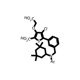 CC(=O)N(Cc1cccc(-c2sc(C(=O)O)c(OCC(=O)O)c2Cl)c1)C1CC(C)(C)CC(C)(C)C1